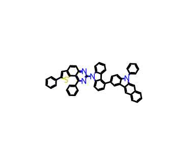 c1ccc(-c2cc3ccc4nc(-n5c6ccccc6c6c(-c7ccc8c(c7)c7cc9ccccc9cc7n8-c7ccccc7)cccc65)nc(-c5ccccc5)c4c3s2)cc1